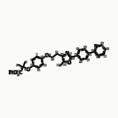 CCOC(=O)C(C)(C)Oc1ccc(OCCc2nc(-c3ccc(-c4ncccn4)cc3)oc2C)cc1